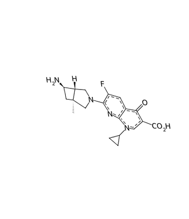 C[C@]12C[C@@H](N)[C@@H]1CN(c1nc3c(cc1F)c(=O)c(C(=O)O)cn3C1CC1)C2